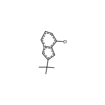 CC(C)(C)c1cc2c(Cl)cccn2c1